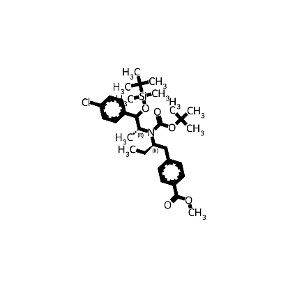 CC[C@H](Cc1ccc(C(=O)OC)cc1)N(C(=O)OC(C)(C)C)[C@H](C)C(O[Si](C)(C)C(C)(C)C)c1ccc(Cl)cc1